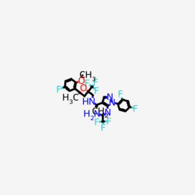 C=C(NCC1(C(F)(F)F)CC(C)(c2cc(F)ccc2OC)O1)c1cnn(-c2ccc(F)cc2F)c1/N=C(\N)C(F)(F)F